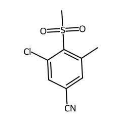 Cc1cc(C#N)cc(Cl)c1S(C)(=O)=O